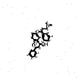 CN(C)CCC(Oc1ccc2c(c1)C(O)CC(c1ccccc1)O2)c1ccccc1